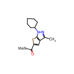 CNC(=O)c1cc2c(C)nn(C3CCCCC3)c2s1